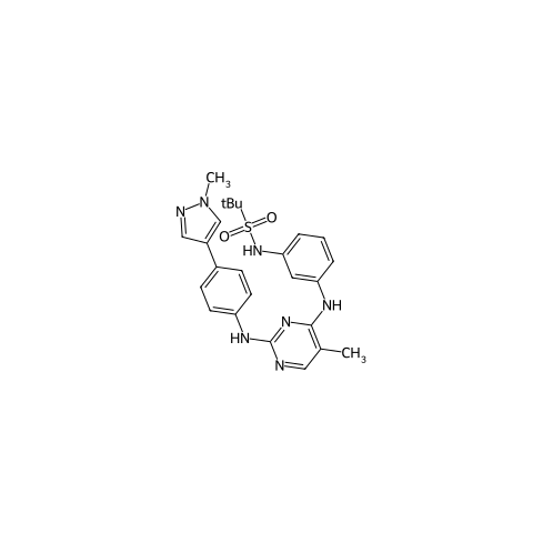 Cc1cnc(Nc2ccc(-c3cnn(C)c3)cc2)nc1Nc1cccc(NS(=O)(=O)C(C)(C)C)c1